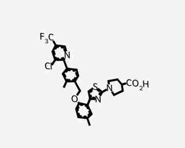 Cc1ccc(OCc2ccc(-c3ncc(C(F)(F)F)cc3Cl)cc2C)c(-c2csc(N3CCC(C(=O)O)CC3)n2)c1